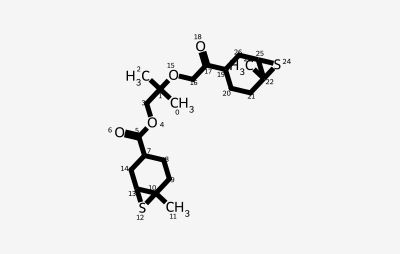 CC(C)(COC(=O)C1CCC2(C)SC2C1)OCC(=O)C1CCC2(C)SC2C1